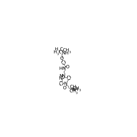 CNC(C)(C)CCC(=O)N1Cc2ccccc2-c2c(nnn2CCCNC(=O)c2ccc(OCCNC(C)(C)C)cc2)-c2ccccc21